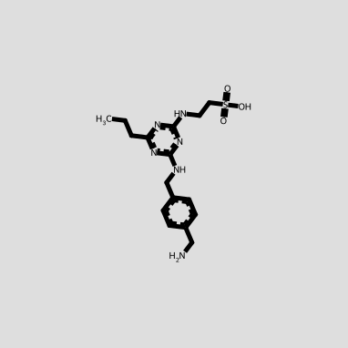 CCCc1nc(NCCS(=O)(=O)O)nc(NCc2ccc(CN)cc2)n1